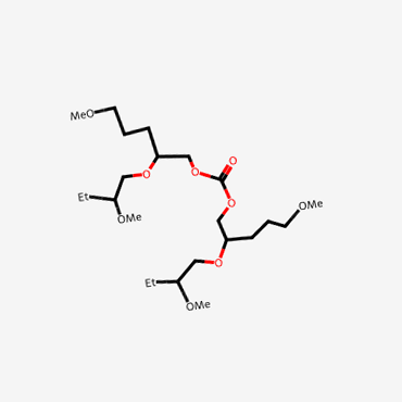 CCC(COC(CCCOC)COC(=O)OCC(CCCOC)OCC(CC)OC)OC